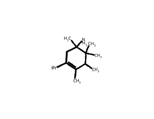 CC1=C(C(C)C)CC(C)(N)C(C)(C)C1C